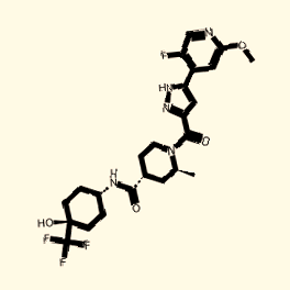 COc1cc(-c2cc(C(=O)N3CC[C@@H](C(=O)N[C@H]4CC[C@@](O)(C(F)(F)F)CC4)C[C@@H]3C)n[nH]2)c(F)cn1